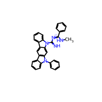 CN/C(=N\C(=N)n1c2ccccc2c2cc3c4ccccc4n(-c4ccccc4)c3cc21)c1ccccc1